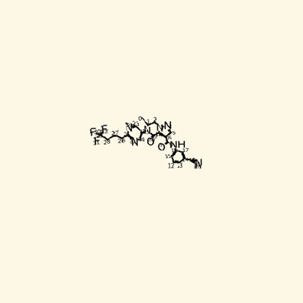 CC1Cn2ncc(C(=O)Nc3cccc(C#N)c3)c2C(=O)N1c1cnc(CCCC(F)(F)F)nc1